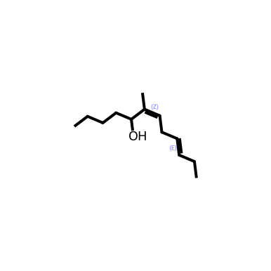 CC/C=C/C/C=C(/C)C(O)CCCC